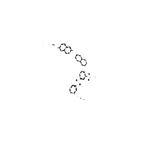 CCOc1ccc2cc(Oc3ccc4cc(Oc5ccc(S(=O)(=O)c6ccc(C)c(SOOO)c6)cc5S(=O)(=O)O)ccc4c3)ccc2c1